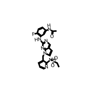 CCS(=O)(=O)Nc1ncccc1Cn1ccc2cnc(Nc3cc(NC(C)=O)ccc3F)nc21